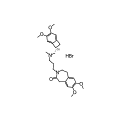 Br.COc1cc2c(cc1OC)CC(=O)N(CCCN(C)C[C@H]1Cc3cc(OC)c(OC)cc31)CC2